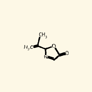 C=C(C)C1N=CC(=O)O1